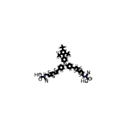 CC(C)(C)c1cc(C(C)(C)C)c(-c2ccc(N(c3ccc(-c4cc5sc6cc(/C=C(\C#N)C(=O)O)sc6c5s4)cc3)c3ccc(-c4cc5sc6cc(/C=C(\C#N)C(=O)O)sc6c5s4)cc3)cc2)c(C(C)(C)C)c1